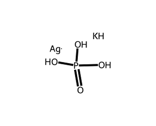 O=P(O)(O)O.[Ag].[KH]